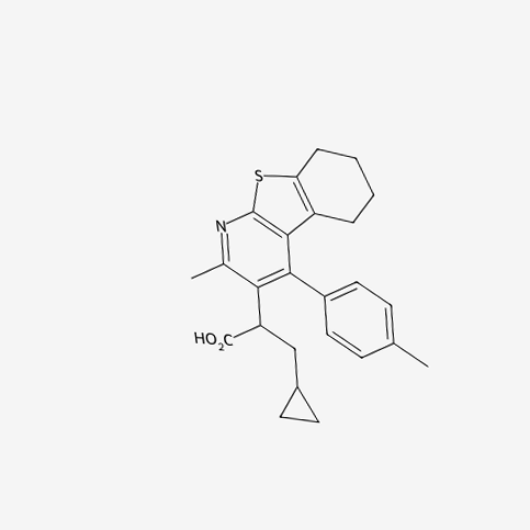 Cc1ccc(-c2c(C(CC3CC3)C(=O)O)c(C)nc3sc4c(c23)CCCC4)cc1